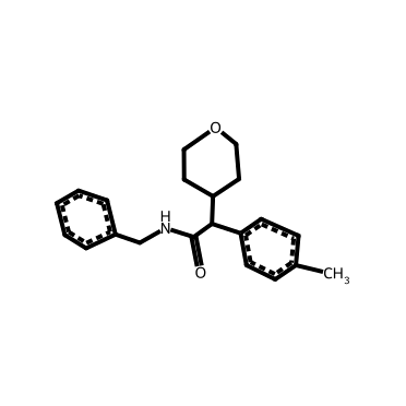 Cc1ccc(C(C(=O)NCc2ccccc2)C2CCOCC2)cc1